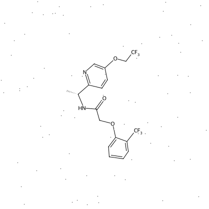 C[C@@H](NC(=O)COc1ccccc1C(F)(F)F)c1ccc(OCC(F)(F)F)cn1